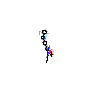 CCCCCCN(C(=O)C(C)(C)C)c1ccc(-c2ccc(C3CCC(c4c(F)cccc4F)=N3)cc2)nn1